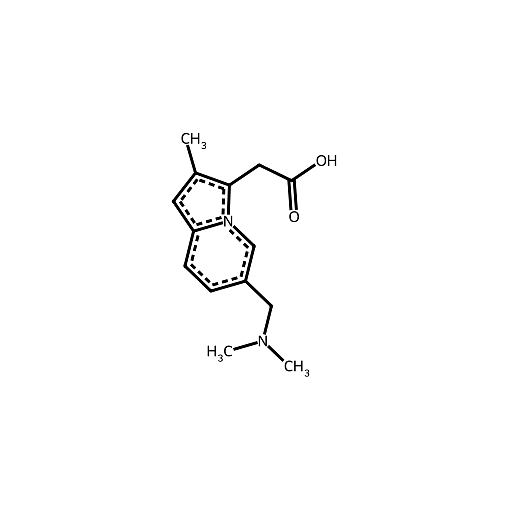 Cc1cc2ccc(CN(C)C)cn2c1CC(=O)O